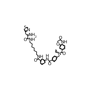 N[C@@H](Cc1cscn1)C(=O)NCCCCCCCNC(=O)c1cccc(NC(=O)c2ccc(CN(C(=O)c3ccc4c(c3)OCC(=O)N4)C3CC3)cc2)c1